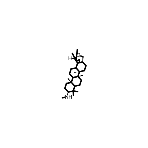 CN[C@H]1CC[C@@]2(C)C(CC[C@]3(C)C2CCC2C4[C@H]5OC[C@@]4(CCC5(C)C)CC[C@]23C)C1(C)C